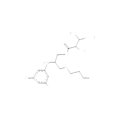 O=C(O)C(O)C(O)C(=O)OCC(CNCCCF)Nc1cc(F)cc(F)c1